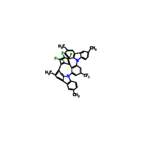 Cc1ccc2c(c1)c1cc(C)ccc1n2-c1cc(C(F)(F)F)cc2c1c1c(F)c(F)c(F)c(c1F)c1cc3c(cc1C)c1cc(C)ccc1n32